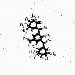 CCC1(C)C(=O)C(C(c2c(O)c(C(=O)C(C)C)c3c(c2O)C(C(C)C)C2=C(O3)C(C)(C)C(=O)C(C)(C)C2=O)C(C)C)=C(O)C(C)(C)C1=O